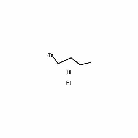 CCCC[Te].I.I